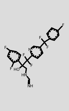 N=CNCC(O)(c1ccc(F)cc1F)C(F)(F)c1ccc(C(F)(F)c2ccc(F)cc2)cn1